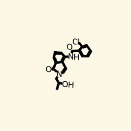 CC(O)Cn1ccc2c(NC(=O)c3ccccc3Cl)cccc2c1=O